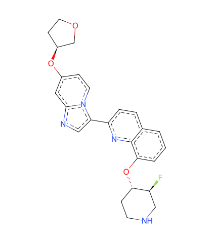 F[C@H]1CNCC[C@@H]1Oc1cccc2ccc(-c3cnc4cc(O[C@H]5CCOC5)ccn34)nc12